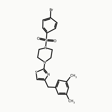 Cc1cc(C)cc(Cc2csc(N3CCN(S(=O)(=O)c4ccc(Br)cc4)CC3)n2)c1